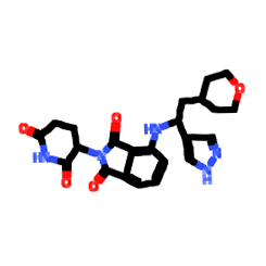 O=C1CCC(N2C(=O)c3cccc(NC(CC4CCOCC4)c4cn[nH]c4)c3C2=O)C(=O)N1